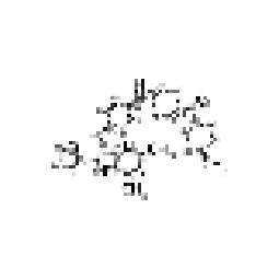 Cc1cc(C)c2nc(-c3ccco3)n(Cc3ccc(N[C@H]4CC[C@H](C(=O)N5CCN(C)CC5)CC4)cc3)c2n1